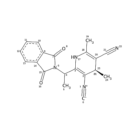 [C-]#[N+]C1=C(C(C)N2C(=O)c3ccccc3C2=O)NC(C)=C(C#N)[C@H]1C